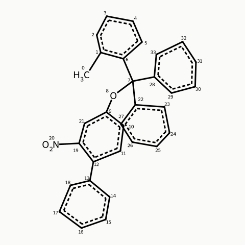 Cc1ccccc1C(Oc1ccc(-c2ccccc2)c([N+](=O)[O-])c1)(c1ccccc1)c1ccccc1